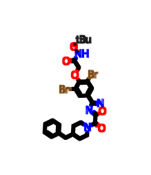 CC(C)(C)ONC(=O)COc1c(Br)cc(-c2noc(C(=O)N3CCC(Cc4ccccc4)CC3)n2)cc1Br